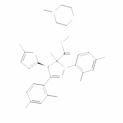 CN1CCO[C@H](CNC(=O)C2(C)[C@H](c3ccc(Cl)o3)C(c3ccc(F)cc3F)=NN2c2ccc(F)cc2F)C1